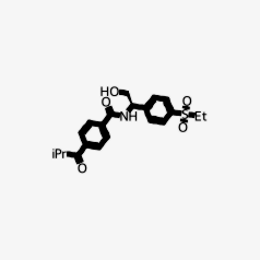 CCS(=O)(=O)c1ccc([C@H](CO)NC(=O)c2ccc(C(=O)C(C)C)cc2)cc1